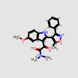 COc1ccc2[nH]c(-c3c(-c4ccccc4)noc3C)c(C(=O)C(=O)N(C)C)c2c1